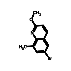 COc1ccc2cc(Br)cc(C)c2n1